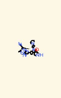 CC(C)n1cnc2cc(-c3ccc4c(c3)N([C@H]3C[C@@H](N5CCCCC5)C3)C(=O)C43CCNCC3)nc(N3CC(C#N)C3)c21